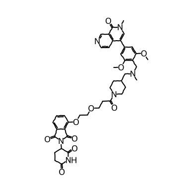 COc1cc(-c2cn(C)c(=O)c3cnccc23)cc(OC)c1CN(C)CC1CCN(C(=O)CCOCCOc2cccc3c2C(=O)N(C2CCC(=O)NC2=O)C3=O)CC1